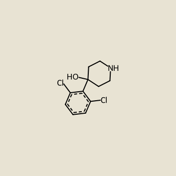 OC1(c2c(Cl)cccc2Cl)CCNCC1